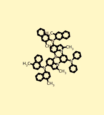 Cc1cc2ccccc2cc1N(c1cc2ccccc2cc1C)c1ccc2c3c1cc(C)n3-c1cc(N(c3ccccc3)c3ccccc3)cc3c1B2c1ccc(N(c2ccc(C)c4ccccc24)c2ccc(C)c4ccccc24)c2cc(C)n-3c12